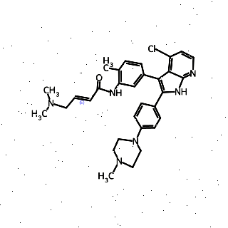 Cc1ccc(-c2c(-c3ccc(N4CCN(C)CC4)cc3)[nH]c3nccc(Cl)c23)cc1NC(=O)/C=C/CN(C)C